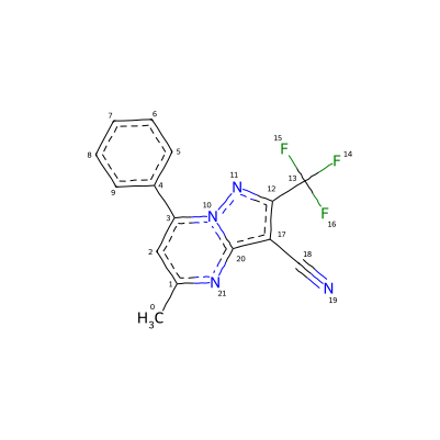 Cc1cc(-c2ccccc2)n2nc(C(F)(F)F)c(C#N)c2n1